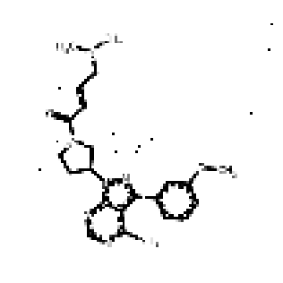 COc1cccc(-c2nn(C3CCN(C(=O)C=CCN(C)C)C3)c3ncnc(N)c23)c1